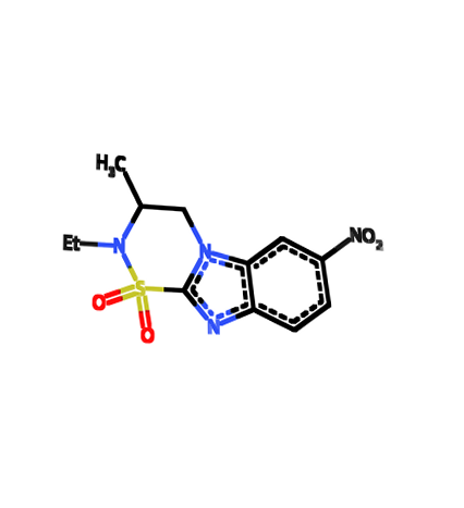 CCN1C(C)Cn2c(nc3ccc([N+](=O)[O-])cc32)S1(=O)=O